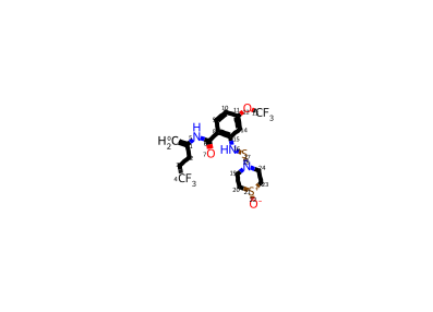 C=C(CCC(F)(F)F)NC(=O)c1ccc(OC(F)(F)F)cc1NSN1CC[S+]([O-])CC1